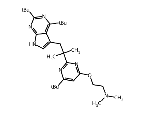 CN(C)CCOc1cc(C(C)(C)C)nc(C(C)(C)Cc2c[nH]c3nc(C(C)(C)C)nc(C(C)(C)C)c23)n1